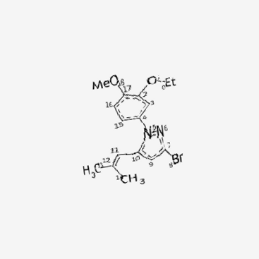 CCOc1cc(-n2nc(Br)cc2C=C(C)C)ccc1OC